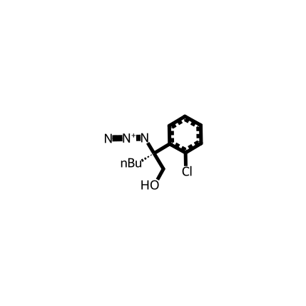 CCCC[C@](CO)(N=[N+]=[N-])c1ccccc1Cl